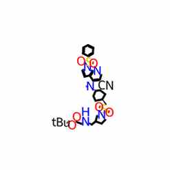 CN(c1c(C#N)cnc2c1ccn2S(=O)(=O)c1ccccc1)[C@H]1CC[C@H](CS(=O)(=O)N2CCC(CNCC(=O)OC(C)(C)C)C2)CC1